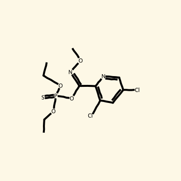 CCOP(=S)(OCC)OC(=NOC)c1ncc(Cl)cc1Cl